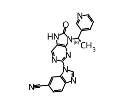 C[C@H](c1cccnc1)n1c(=O)[nH]c2cnc(-n3cnc4ccc(C#N)cc43)nc21